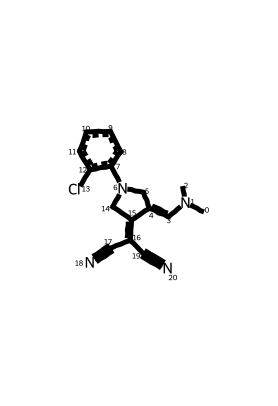 CN(C)C=C1CN(c2ccccc2Cl)CC1=C(C#N)C#N